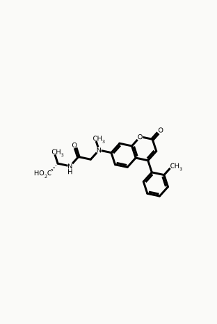 Cc1ccccc1-c1cc(=O)oc2cc(N(C)CC(=O)N[C@@H](C)C(=O)O)ccc12